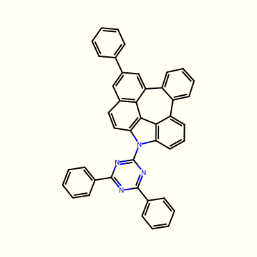 c1ccc(-c2cc3c4c(ccc5c4c4c(cccc4n5-c4nc(-c5ccccc5)nc(-c5ccccc5)n4)-c4ccccc4-3)c2)cc1